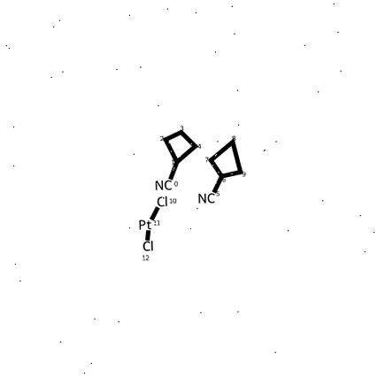 N#CC1CCC1.N#CC1CCC1.[Cl][Pt][Cl]